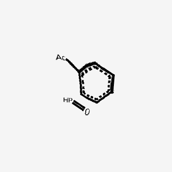 CC(=O)c1ccccc1.O=P